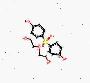 O=S(=O)(c1ccc(O)cc1)c1ccc(O)cc1.OCCOCCO